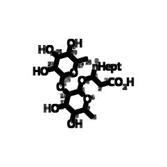 CCCCCCCC(CC(=O)O)OC1OC(C)C(O)C(O)C1OC1OC(C)C(O)C(O)C1O